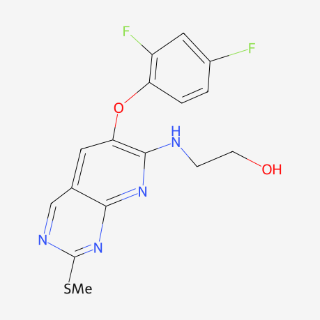 CSc1ncc2cc(Oc3ccc(F)cc3F)c(NCCO)nc2n1